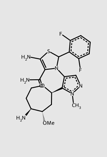 CO[C@H]1C[C@H](c2c(N3C(C(N)=O)=C(N)SC3c3c(F)cccc3F)cnn2C)OCC[C@@H]1N